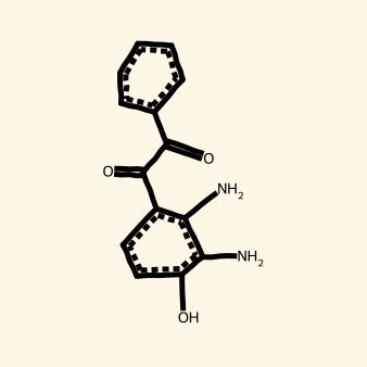 Nc1c(O)ccc(C(=O)C(=O)c2ccccc2)c1N